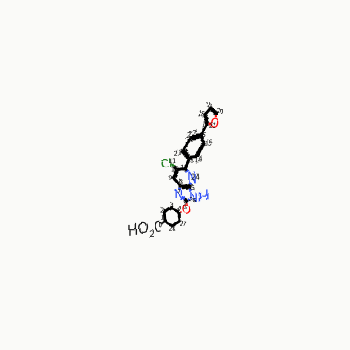 O=C(O)[C@H]1CC[C@H](Oc2nc3cc(Cl)c(-c4ccc(-c5ccco5)cc4)nc3[nH]2)CC1